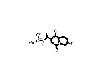 CC(N[S+]([O-])C(C)(C)C)c1cc(=O)n2cc(F)ccc2c1Br